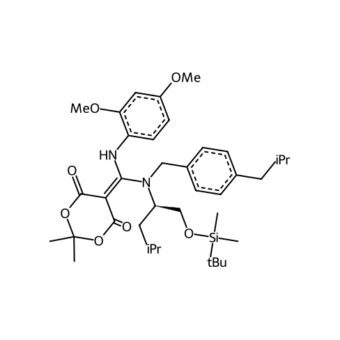 COc1ccc(NC(=C2C(=O)OC(C)(C)OC2=O)N(Cc2ccc(CC(C)C)cc2)[C@@H](CO[Si](C)(C)C(C)(C)C)CC(C)C)c(OC)c1